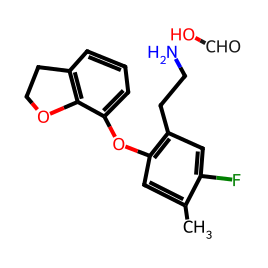 Cc1cc(Oc2cccc3c2OCC3)c(CCN)cc1F.O=CO